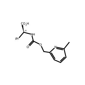 Cc1cccc(COC(=O)N[C@H](C(=O)O)C(C)C)n1